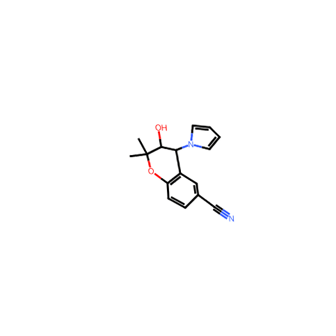 CC1(C)Oc2ccc(C#N)cc2C(n2cccc2)C1O